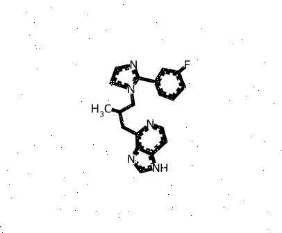 CC(Cc1nccc2[nH]cnc12)Cn1ccnc1-c1cccc(F)c1